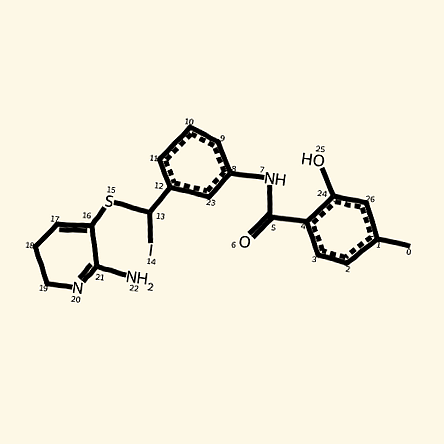 Cc1ccc(C(=O)Nc2cccc(C(I)SC3=CCCN=C3N)c2)c(O)c1